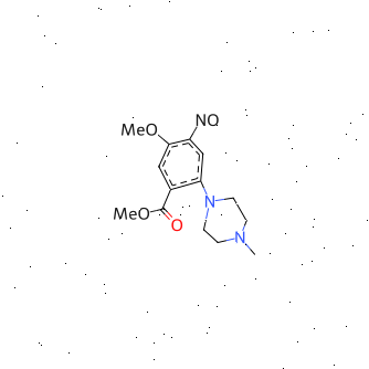 COC(=O)c1cc(OC)c(N=O)cc1N1CCN(C)CC1